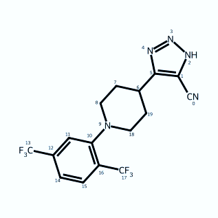 N#Cc1[nH]nnc1C1CCN(c2cc(C(F)(F)F)ccc2C(F)(F)F)CC1